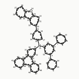 c1ccc(-c2cc(-c3ccccc3)cc(N(c3ccc(-c4ccc5oc6ccccc6c5c4)cc3)c3ccc4c5ccccc5c5ccccc5c4c3)c2)cc1